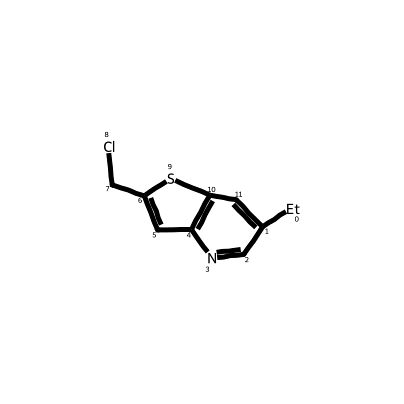 CCc1cnc2cc(CCl)sc2c1